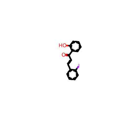 O=C(/C=C/c1ccccc1I)c1ccccc1O